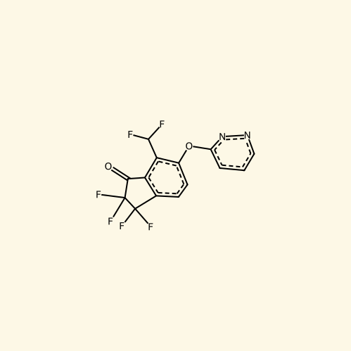 O=C1c2c(ccc(Oc3cccnn3)c2C(F)F)C(F)(F)C1(F)F